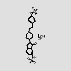 CO.CS(=O)(=O)Nc1ccc(CCN2CCC(C3Cc4ccc(NS(C)(=O)=O)cc4C3=O)CC2)cc1.Cl